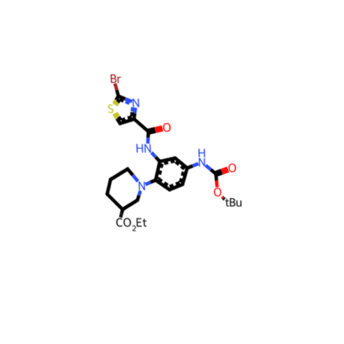 CCOC(=O)C1CCCN(c2ccc(NC(=O)OC(C)(C)C)cc2NC(=O)c2csc(Br)n2)C1